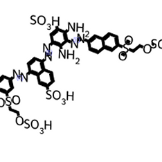 Nc1c(/N=N/c2ccc(/N=N/c3cccc(S(=O)(=O)CCOS(=O)(=O)O)c3)c3cc(S(=O)(=O)O)ccc23)cc(S(=O)(=O)O)c(N)c1/N=N/c1ccc2cc(S(=O)(=O)CCOS(=O)(=O)O)ccc2c1